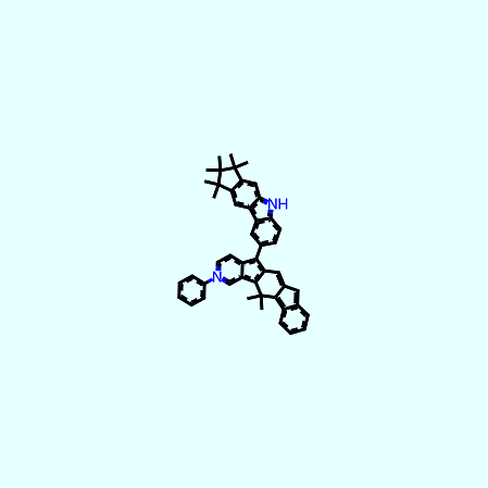 CC1(C)C2=c3ccccc3=CC2=Cc2c(-c3ccc4[nH]c5cc6c(cc5c4c3)C(C)(C)C(C)(C)C6(C)C)c3ccn(-c4ccccc4)cc-3c21